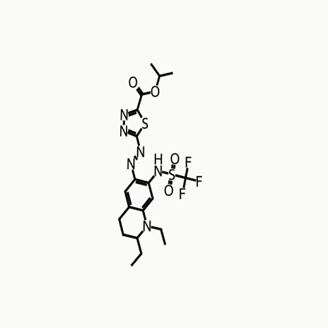 CCC1CCc2cc(N=Nc3nnc(C(=O)OC(C)C)s3)c(NS(=O)(=O)C(F)(F)F)cc2N1CC